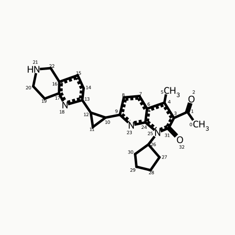 CC(=O)c1c(C)c2ccc(C3CC3c3ccc4c(n3)CCNC4)nc2n(C2CCCC2)c1=O